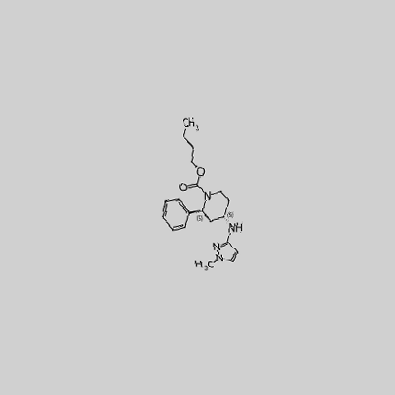 CCCCOC(=O)N1CC[C@H](Nc2ccn(C)n2)C[C@H]1c1ccccc1